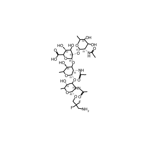 CC(=O)N[C@H]1C(O)[C@H](O)C(C)O[C@H]1O[C@H]1C(O)[C@H](O)C(C(=O)O)O[C@H]1OC1[C@H](O)C(C)O[C@@H](OC2[C@@H](O)C(C)O[C@@H](OCC(F)(F)CN)[C@H]2NC(C)=O)[C@H]1NC(C)=O